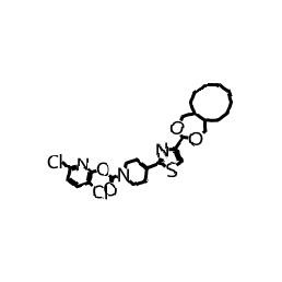 O=C(Oc1nc(Cl)ccc1Cl)N1CCC(c2nc(C3OCC4CCCCCCCCC4CO3)cs2)CC1